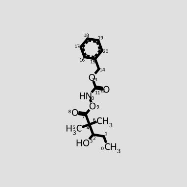 CCC(O)C(C)(C)C(=O)ONC(=O)OCc1ccccc1